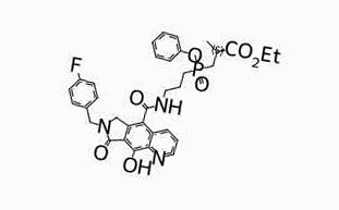 CCOC(=O)[C@H](C)CP(=O)(CCCNC(=O)c1c2c(c(O)c3ncccc13)C(=O)N(Cc1ccc(F)cc1)C2)Oc1ccccc1